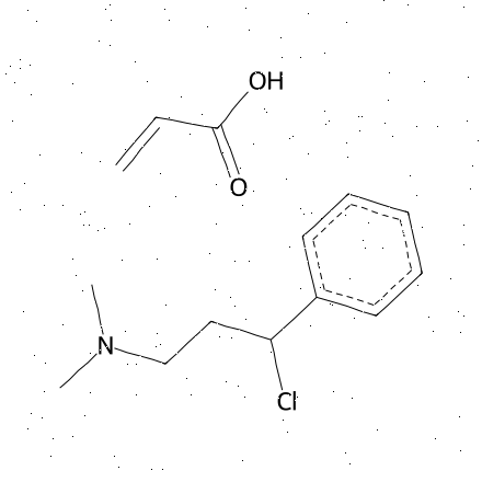 C=CC(=O)O.CN(C)CCC(Cl)c1ccccc1